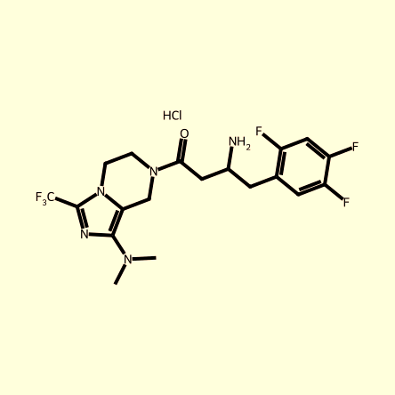 CN(C)c1nc(C(F)(F)F)n2c1CN(C(=O)CC(N)Cc1cc(F)c(F)cc1F)CC2.Cl